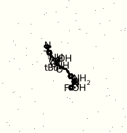 Cc1ncsc1-c1ccc([C@H](C)NC(=O)[C@@H]2C[C@@H](O)CN2C(=O)[C@@H](NC(=O)CCCC#Cc2ccc(-c3cc(-c4cc(F)ccc4O)nnc3N)cc2)C(C)(C)C)cc1